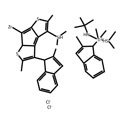 CC1=Cc2ccccc2C1C1=C(C)SC2[C]([Zr])=c3sc(C)c([SiH](C)C)c3=C12.CC1=Cc2ccccc2[CH]1[Ti+2]([CH3])([CH3])([NH]C(C)(C)C)[SiH](C)C.[Cl-].[Cl-]